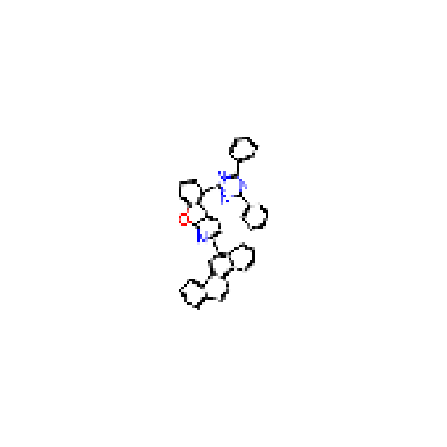 c1ccc(-c2nc(-c3ccccc3)nc(-c3cccc4oc5nc(-c6cc7c8ccccc8ccc7c7ccccc67)ccc5c34)n2)cc1